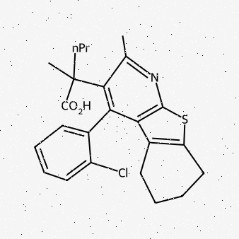 CCCC(C)(C(=O)O)c1c(C)nc2sc3c(c2c1-c1ccccc1Cl)CCCC3